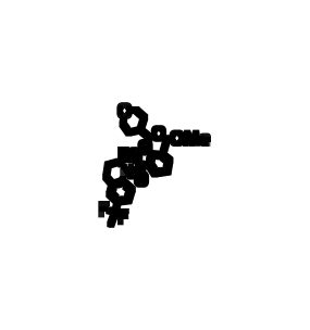 CCC1CCc2cc(C(C)(F)F)ccc2N1S(=O)(=O)c1cccc(C(=O)OC)c1OCC1CCOCC1